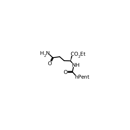 CCCCCC(=O)N[C@@H](CCC(N)=O)C(=O)OCC